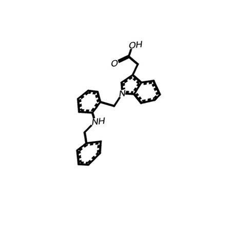 O=C(O)Cc1cn(Cc2ccccc2NCc2ccccc2)c2ccccc12